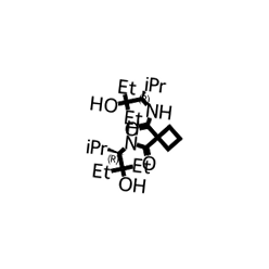 CCC(O)(CC)[C@H](NC(=O)C1(C(=O)N[C@H](C(C)C)C(O)(CC)CC)CCC1)C(C)C